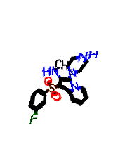 CNc1c(S(=O)(=O)c2cccc(F)c2)c2ccccn2c1N1CCNCC1